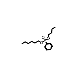 CCCCCCOP(=O)(OCCCC)c1ccccc1